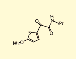 COc1ccc(C(=O)C(=O)NC(C)C)s1